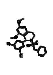 COc1cc2c(c(OC)c1)C(c1cc(Cl)cc(Cl)c1)N(S(=O)(=O)Cc1ccccc1)CC2